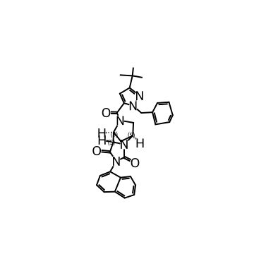 CC(C)(C)c1cc(C(=O)N2C[C@@H]3C[C@H]2[C@H]2C(=O)N(c4cccc5ccccc45)C(=O)N32)n(Cc2ccccc2)n1